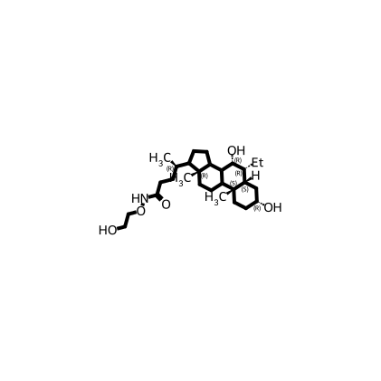 CC[C@H]1[C@@H](O)C2C3CCC([C@H](C)CCC(=O)NOCCO)[C@@]3(C)CCC2[C@@]2(C)CC[C@@H](O)C[C@@H]12